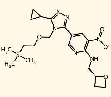 C[Si](C)(C)CCOCn1c(-c2cnc(NC[C@@H]3CCO3)c([N+](=O)[O-])c2)nnc1C1CC1